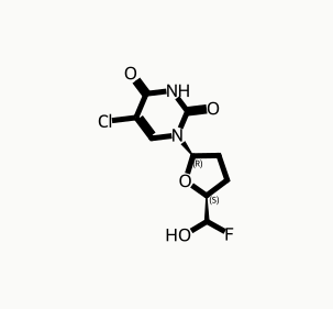 O=c1[nH]c(=O)n([C@H]2CC[C@@H](C(O)F)O2)cc1Cl